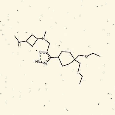 CCOCC1(COCC)CCC(c2n[nH]cc2CN(C)C2CC(NC)C2)CC1